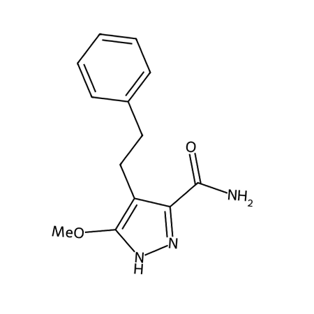 COc1[nH]nc(C(N)=O)c1CCc1ccccc1